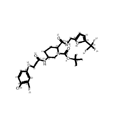 CC(C)(C)OC(=O)N1CC(NC(=O)COc2ccc(Cl)c(F)c2)CCC1C(=O)NCc1ccc(C(F)(F)F)o1